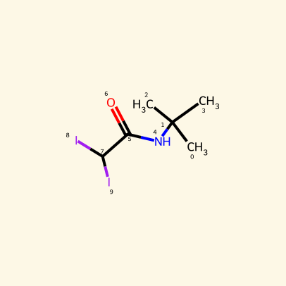 CC(C)(C)NC(=O)C(I)I